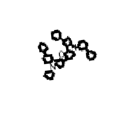 c1ccc(-c2cccc(-n3c4ccc(-c5ccccc5)cc4c4c5oc6c(ccc7c6c6cc(-c8ccccc8)ccc6n7-c6ccccc6)c5ccc43)c2)cc1